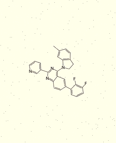 Cc1ccc2c(c1)N(c1nc(-c3cccnc3)nc3ccc(-c4cccc(F)c4F)cc13)CC2